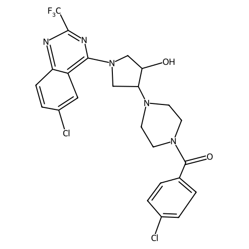 O=C(c1ccc(Cl)cc1)N1CCN(C2CN(c3nc(C(F)(F)F)nc4ccc(Cl)cc34)CC2O)CC1